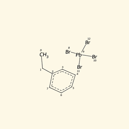 CCc1ccccc1.[Br][Pb]([Br])([Br])[Br]